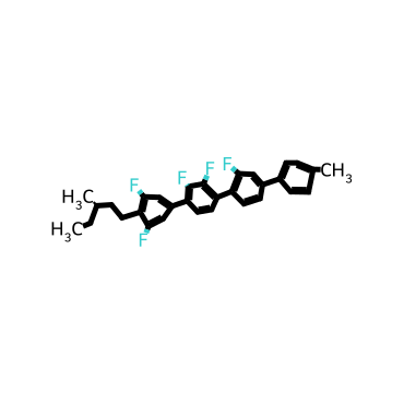 CC[C@H](C)CCc1c(F)cc(-c2ccc(-c3ccc(-c4ccc(C)cc4)cc3F)c(F)c2F)cc1F